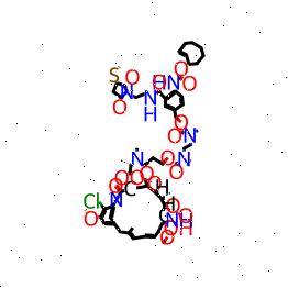 COc1cc2cc(c1Cl)N(C)C(=O)C[C@H](OC(=O)[C@H](C)N(C)C(=O)CCOC(=O)N(C)CCN(C)C(=O)OCc1ccc(NC(=O)OC3/C=C/CCCCC3)c(C(=O)NCCN3C(=O)CC(SC)C3=O)c1)C1(C)O[C@H]1[C@H](C)[C@@H]1C[C@@](O)(NC(=O)O1)[C@H](OC)/C=C/C=C(\C)C2